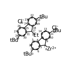 CC(C)(C)c1ccc2c(c1)[CH]([Zr+2])c1cc(C(C)(C)C)ccc1-2.CCC1c2cc(C(C)(C)C)ccc2-c2ccc(C(C)(C)C)cc21.[Cl-].[Cl-]